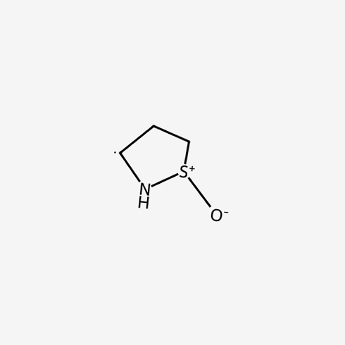 [O-][S+]1CC[CH]N1